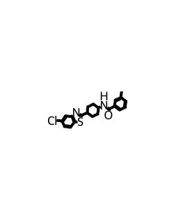 Cc1cccc(C(=O)NC2CCC(c3nc4cc(Cl)ccc4s3)CC2)c1